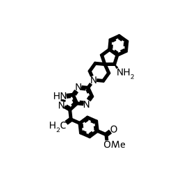 C=C(c1ccc(C(=O)OC)cc1)c1n[nH]c2nc(N3CCC4(CC3)Cc3ccccc3[C@H]4N)cnc12